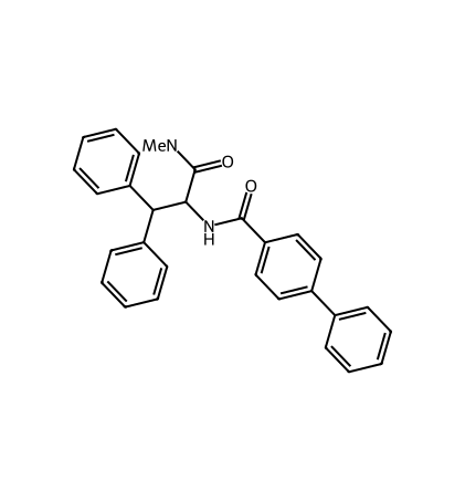 CNC(=O)C(NC(=O)c1ccc(-c2ccccc2)cc1)C(c1ccccc1)c1ccccc1